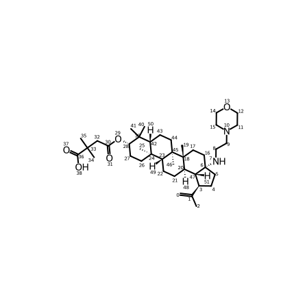 C=C(C)[C@@H]1CC[C@]2(NCCN3CCOCC3)CC[C@]3(C)[C@H](CC[C@@H]4[C@@]5(C)CC[C@H](OC(=O)CC(C)(C)C(=O)O)C(C)(C)[C@@H]5CC[C@]43C)[C@@H]12